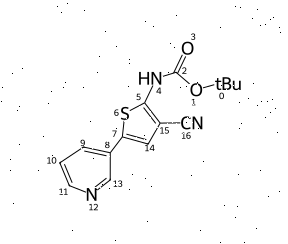 CC(C)(C)OC(=O)Nc1sc(-c2cccnc2)cc1C#N